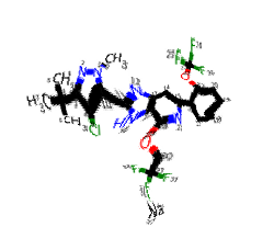 Cn1nc(C(C)(C)C)c(Cl)c1-c1nc2cc(-c3ccccc3OC(F)(F)F)nc(OCC(F)(F)F)c2[nH]1.[Na]